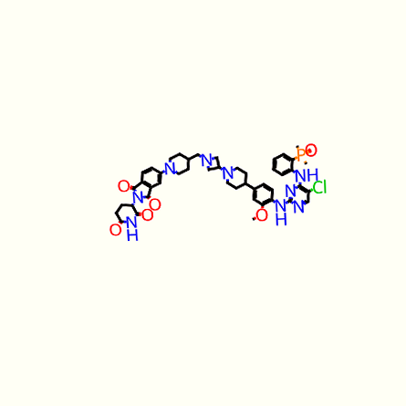 COc1cc(C2CCN(C3CN(CC4CCN(c5ccc6c(c5)C(=O)N(C5CCC(=O)NC5=O)C6=O)CC4)C3)CC2)ccc1Nc1ncc(Cl)c(Nc2ccccc2P(C)(C)=O)n1